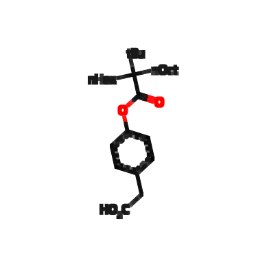 CCCCCCCCC(CCCCCC)(C(=O)Oc1ccc(CC(=O)O)cc1)C(C)(C)C